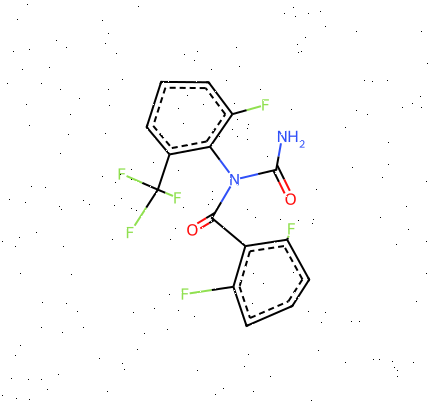 NC(=O)N(C(=O)c1c(F)cccc1F)c1c(F)cccc1C(F)(F)F